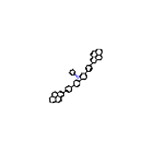 c1ccc(-n2c3cc(-c4ccc(-c5cc6ccc7cccc8ccc(c5)c6c78)cc4)ccc3c3ccc(-c4ccc(-c5cc6ccc7cccc8ccc(c5)c6c78)cc4)cc32)cc1